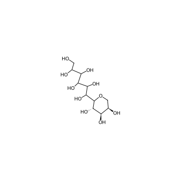 OCC(O)C(O)C(O)C(O)C(O)C1OC[C@@H](O)[C@@H](O)[C@@H]1O